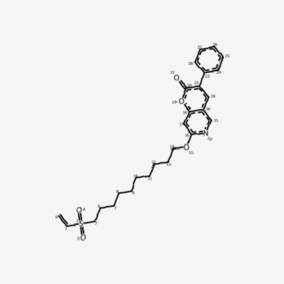 C=CS(=O)(=O)CCCCCCCCCCOc1cc2oc(=O)c(-c3ccccc3)cc2cn1